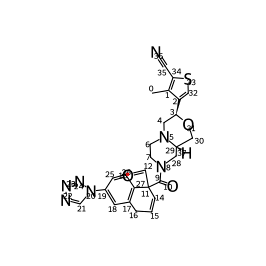 Cc1c([C@@H]2CN3CCN(C(=O)C4(C=O)C=CCc5cc(-n6cnnn6)ccc54)C[C@H]3CO2)csc1C#N